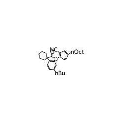 CCCCCCCCc1ccc(OC(=O)C2(c3ccc(CCCC)cc3)CCCCC2)c(C#N)c1